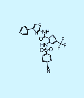 N#Cc1ccc(S(=O)(=O)Nc2cc(C(F)(F)F)ccc2C(=O)Nc2nc(-c3ccccc3)cs2)cc1